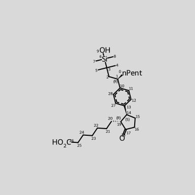 CCCCC[C@H](CC(C)(C)[Si](C)(C)O)c1ccc([C@H]2CCC(=O)[C@@H]2CCCCCCC(=O)O)cc1